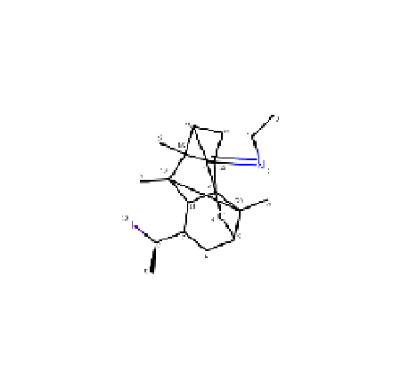 CC/N=C1/CC2CC([C@@H](C)I)C3C4C5CC1C5(C)C3(C)C24C